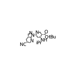 CC(C)Nc1cc(-n2ncc3cc(C#N)cnc32)ncc1C(=O)OC(C)(C)C